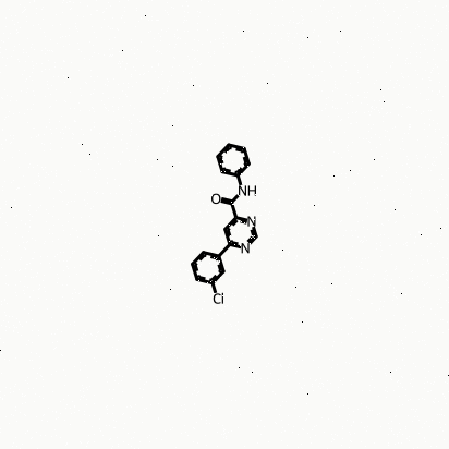 O=C(Nc1ccccc1)c1cc(-c2cccc(Cl)c2)ncn1